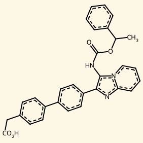 CC(OC(=O)Nc1c(-c2ccc(-c3ccc(CC(=O)O)cc3)cc2)nc2ccccn12)c1ccccc1